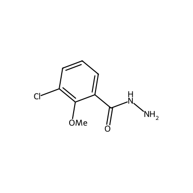 COc1c(Cl)cccc1C(=O)NN